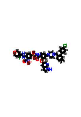 CC1(C)CCC(CN2CCN(c3ccc(C(=O)NS(=O)(=O)c4ccc(NCC5(F)CCOCC5)c([N+](=O)[O-])c4)c(Oc4cnc5[nH]ccc5c4)c3)CC2)=C(c2ccc(Cl)cc2)C1